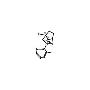 C[C@@H]1C2CC[C@H]1CN(c1ncncc1F)C2